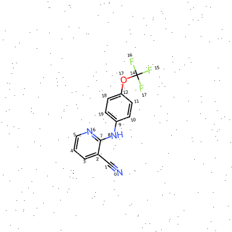 N#Cc1cccnc1Nc1ccc(OC(F)(F)F)cc1